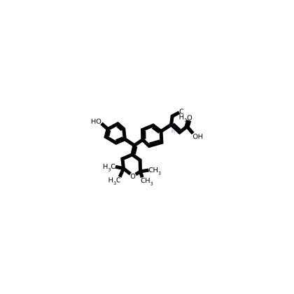 CC/C(=C\C(=O)O)c1ccc(C(=C2CC(C)(C)OC(C)(C)C2)c2ccc(O)cc2)cc1